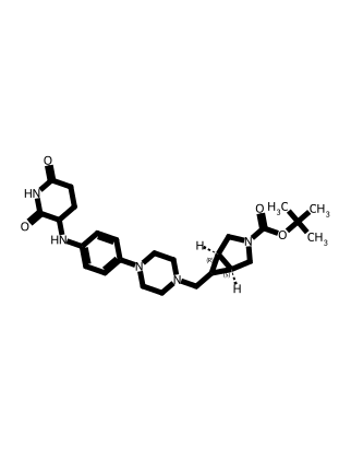 CC(C)(C)OC(=O)N1C[C@@H]2C(CN3CCN(c4ccc(NC5CCC(=O)NC5=O)cc4)CC3)[C@@H]2C1